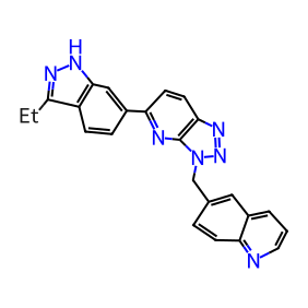 CCc1n[nH]c2cc(-c3ccc4nnn(Cc5ccc6ncccc6c5)c4n3)ccc12